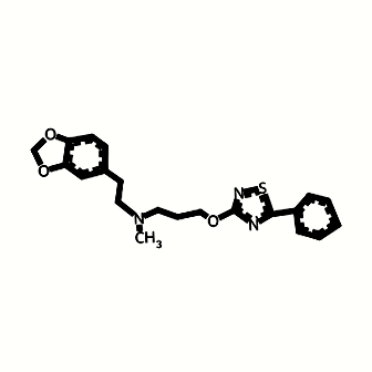 CN(CCCOc1nsc(-c2ccccc2)n1)CCc1ccc2c(c1)OCO2